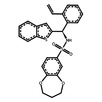 C=Cc1ccccc1[C@@H](NS(=O)(=O)c1ccc2c(c1)OCCCO2)c1cc2ccccc2s1